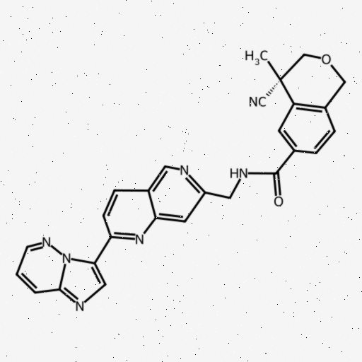 C[C@@]1(C#N)COCc2ccc(C(=O)NCc3cc4nc(-c5cnc6cccnn56)ccc4cn3)cc21